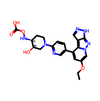 CCOc1cc(-c2ccc(N3CC[C@H](NOC(=O)O)[C@H](O)C3)nc2)c2c3cn[nH]c3nn2c1